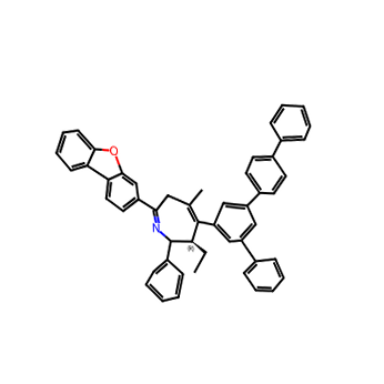 CC[C@@H]1C(c2cc(-c3ccccc3)cc(-c3ccc(-c4ccccc4)cc3)c2)=C(C)CC(c2ccc3c(c2)oc2ccccc23)=NC1c1ccccc1